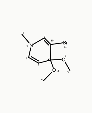 COC1(OC)C=CN(C)C=C1Br